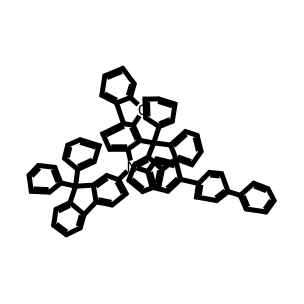 c1ccc(-c2ccc(-c3ccc(N(c4ccc5c(c4)C(c4ccccc4)(c4ccccc4)c4ccccc4-5)c4ccc5c(oc6ccccc65)c4C4(c5ccccc5)c5ccccc5-c5ccccc54)cc3)cc2)cc1